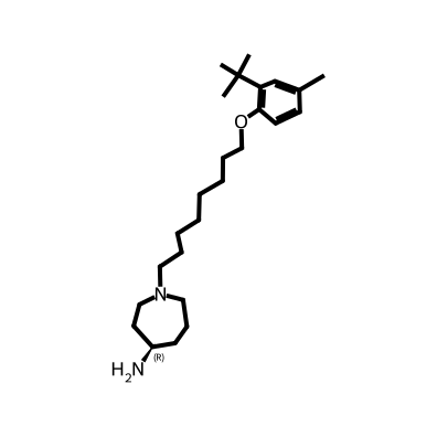 Cc1ccc(OCCCCCCCCN2CCC[C@@H](N)CC2)c(C(C)(C)C)c1